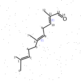 CC(C)=CCC/C(C)=C/C/C=C(\C)C=O